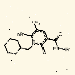 CCCc1c(C)cc(C(=O)NC(C)C)c(=O)n1CC1CCCCC1